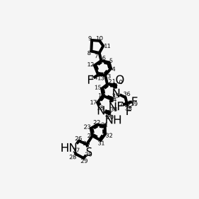 O=c1c(-c2ccc(C3CCCC3)cc2F)cc2cnc(Nc3ccc(C4CNCCS4)cc3)nc2n1CC(F)(F)F